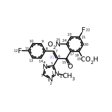 Cn1ncnc1/C(=C\c1ccc(F)cc1)C(=O)c1c(C(=O)O)cc(F)cc1[N+](=O)[O-]